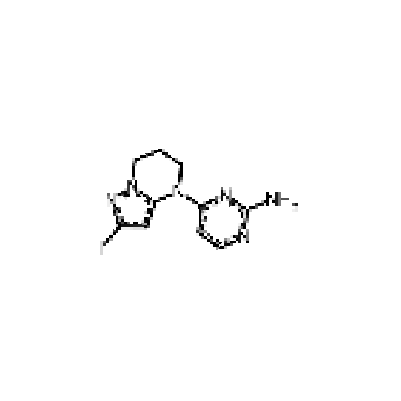 Nc1nccc(N2CCCn3nc(I)cc32)n1